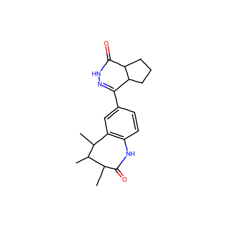 CC1C(=O)Nc2ccc(C3=NNC(=O)C4CCCC34)cc2C(C)C1C